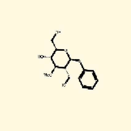 CO[C@H]1[C@H](O)[C@@H](CO)O[C@@H](Sc2ccccc2)[C@@H]1CO